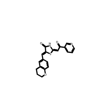 O=C(/C=c1\[nH]c(=O)/c(=C/c2ccc3c(c2)CCCO3)s1)c1cccnc1